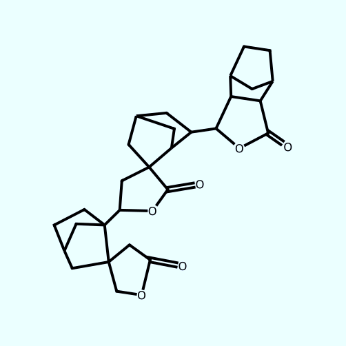 O=C1CC2(CO1)CC1CCC2(C2CC3(CC4CC(C5OC(=O)C6C7CCC(C7)C56)C3C4)C(=O)O2)C1